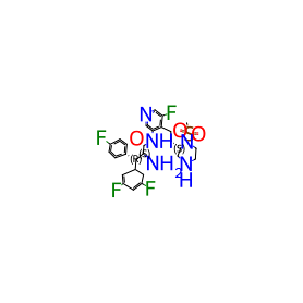 CS(=O)(=O)N1CCNC[C@@H]1CCc1c(F)cncc1NC(=O)[C@@H](N)[C@@H](c1ccc(F)cc1)C1C=C(F)C=C(F)C1